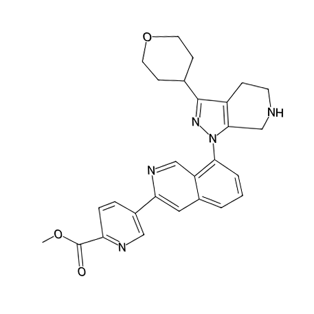 COC(=O)c1ccc(-c2cc3cccc(-n4nc(C5CCOCC5)c5c4CNCC5)c3cn2)cn1